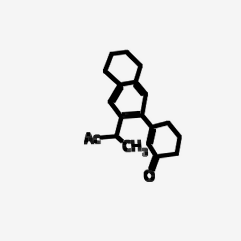 CC(=O)C(C)c1cc2c(cc1C1=CC(=O)CCC1)CCCC2